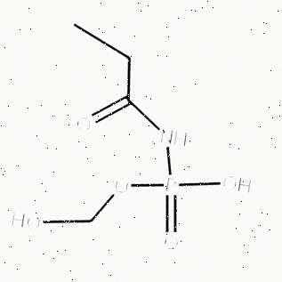 CCC(=O)NP(=O)(O)OCO